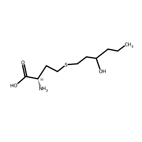 CCCC(O)CCSCC[C@H](N)C(=O)O